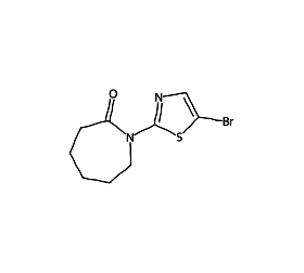 O=C1CCCCCN1c1ncc(Br)s1